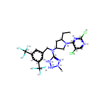 CCC1CC(N(Cc2cc(C(F)(F)F)cc(C(F)(F)F)c2)C2=NN(C)NN2)CN1c1nc(Cl)ncc1Cl